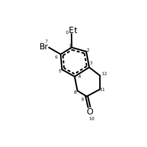 CCc1cc2c(cc1Br)CC(=O)CC2